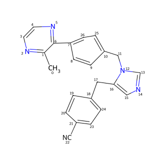 Cc1nccnc1-c1ccc(Cn2cncc2Cc2ccc(C#N)cc2)cc1